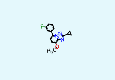 COc1ccc(-c2cccc(F)c2)n2nc(C3CC3)nc12